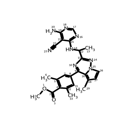 COC(=O)c1c(C)cc(-c2nc(C(C)Nc3ncnc(N)c3C#N)nn3ccc(C)c23)cc1C